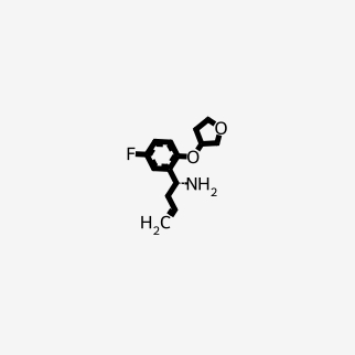 C=CC[C@@H](N)c1cc(F)ccc1OC1CCOC1